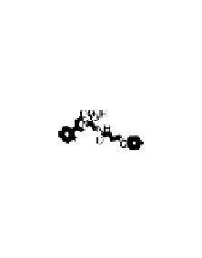 Cc1ccccc1C1C[C@@H](C(=O)O)N(C(=O)CNC(=O)CCCOc2ccccc2)C1